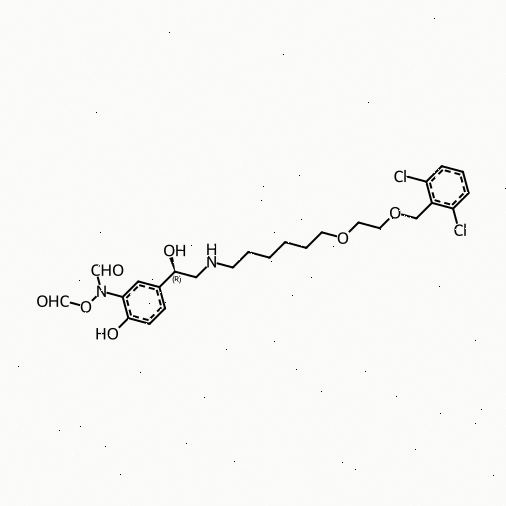 O=CON(C=O)c1cc([C@@H](O)CNCCCCCCOCCOCc2c(Cl)cccc2Cl)ccc1O